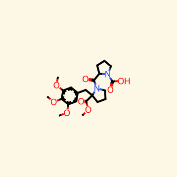 COC(=O)C1(Cc2cc(OC)c(OC)c(OC)c2)CCCN1C(=O)C1CCCN1C(=O)O